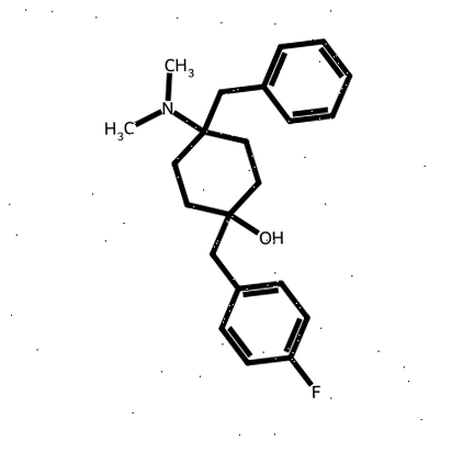 CN(C)C1(Cc2ccccc2)CCC(O)(Cc2ccc(F)cc2)CC1